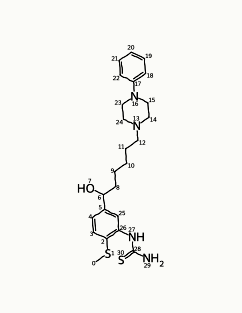 CSc1ccc(C(O)CCCCCN2CCN(c3ccccc3)CC2)cc1NC(N)=S